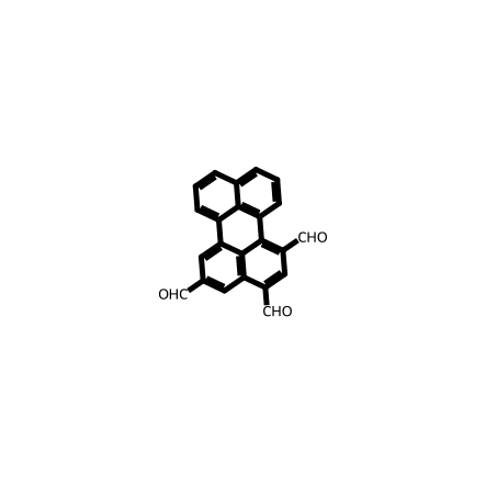 O=Cc1cc2c(C=O)cc(C=O)c3c4cccc5cccc(c(c1)c23)c54